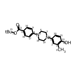 Cc1cc(N2CCN(c3ccc(C(=O)OC(C)(C)C)cc3)CC2)ccc1O